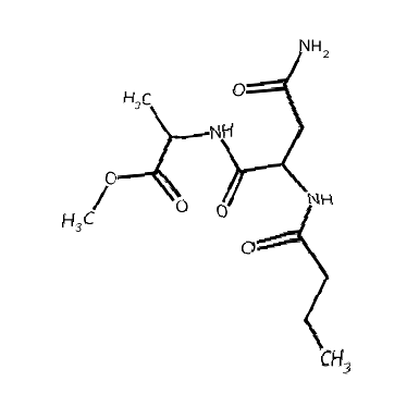 CCCC(=O)NC(CC(N)=O)C(=O)NC(C)C(=O)OC